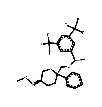 CO/N=C1/CC[C@@](CO[C@H](C)c2cc(C(F)(F)F)cc(C(F)(F)F)c2)(c2ccccc2)NC1